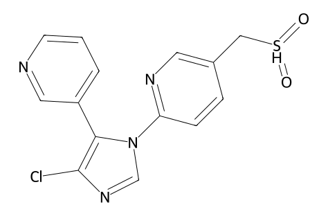 O=[SH](=O)Cc1ccc(-n2cnc(Cl)c2-c2cccnc2)nc1